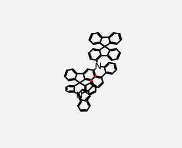 c1ccc(-c2ccc(-c3ccccc3N(c3ccc4c(c3)-c3ccccc3C43c4ccccc4-n4c5ccccc5c5cccc3c54)c3cccc4c3-c3ccccc3C43c4ccccc4-c4ccccc43)cc2)cc1